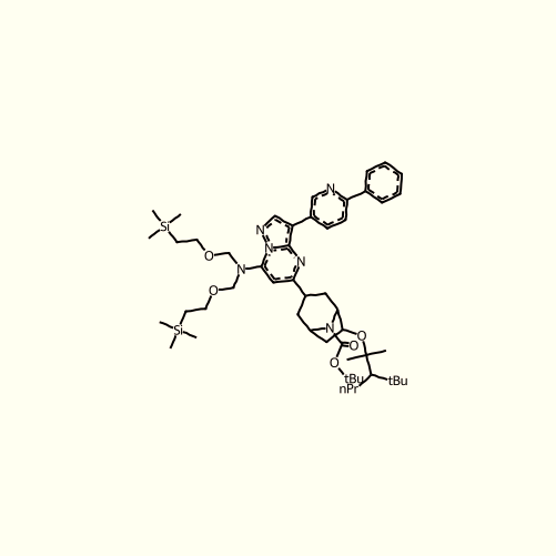 CCCC(C(C)(C)C)C(C)(C)OC1CC2CC(c3cc(N(COCC[Si](C)(C)C)COCC[Si](C)(C)C)n4ncc(-c5ccc(-c6ccccc6)nc5)c4n3)CC1N2C(=O)OC(C)(C)C